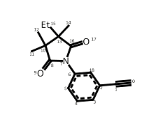 C#Cc1cccc(N2C(=O)C(C)(C)C(C)(CC)C2=O)c1